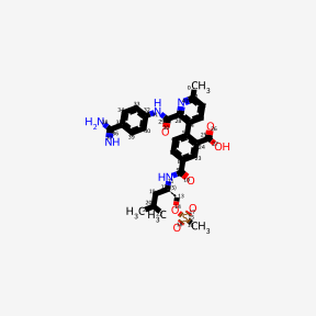 Cc1ccc(-c2ccc(C(=O)N[C@H](COS(C)(=O)=O)CC(C)C)cc2C(=O)O)c(C(=O)Nc2ccc(C(=N)N)cc2)n1